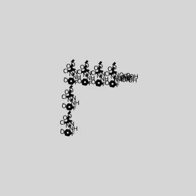 CCOC(=O)c1cnc(Nc2cc(OC)ccc2F)nc1Cl.CCOC(=O)c1cnc(Nc2cc(OC)ccc2F)nc1Cl.CCOC(=O)c1cnc(Nc2cc(OC)ccc2F)nc1Cl.CCOC(=O)c1cnc(Nc2cc(OC)ccc2F)nc1Cl.CCOC(=O)c1cnc(Nc2cc(OC)ccc2F)nc1Cl.CCOC(=O)c1cnc(Nc2cc(OC)ccc2F)nc1Cl.Cl.O=P(O)(O)Cl.O=P(O)(O)O